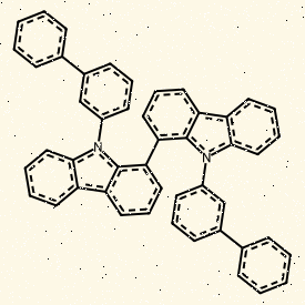 c1ccc(-c2cccc(-n3c4ccccc4c4cccc(-c5cccc6c7ccccc7n(-c7cccc(-c8ccccc8)c7)c56)c43)c2)cc1